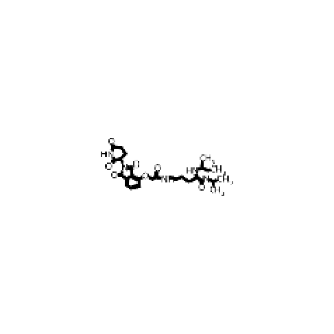 CCC(C)NC(CCCCNC(=O)COc1cccc2c1C(=O)N(C1CCC(=O)NC1=O)C2=O)C(=O)NC(C)C